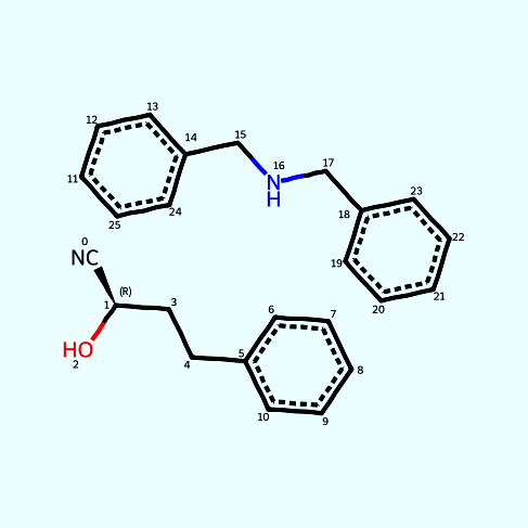 N#C[C@H](O)CCc1ccccc1.c1ccc(CNCc2ccccc2)cc1